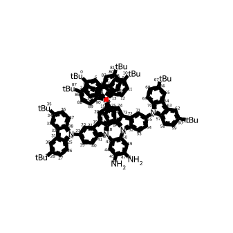 CC(C)(C)c1ccc2c(c1)c1cc(C(C)(C)C)ccc1n2-c1ccc2c(c1)c1cc(-n3c4ccc(C(C)(C)C)cc4c4cc(C(C)(C)C)ccc43)ccc1n2-c1cc(N)c(N)cc1-n1c2ccc(-n3c4ccc(C(C)(C)C)cc4c4cc(C(C)(C)C)ccc43)cc2c2cc(-n3c4ccc(C(C)(C)C)cc4c4cc(C(C)(C)C)ccc43)ccc21